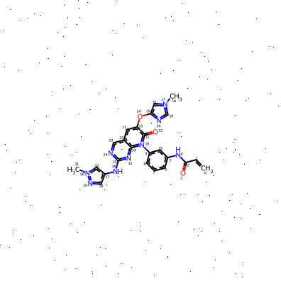 C=CC(=O)Nc1cccc(-n2c(=O)c(Oc3cn(C)cn3)cc3cnc(Nc4cnn(C)c4)nc32)c1